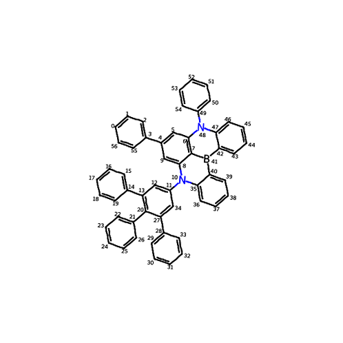 c1ccc(-c2cc3c4c(c2)N(c2cc(-c5ccccc5)c(-c5ccccc5)c(-c5ccccc5)c2)c2ccccc2B4c2ccccc2N3c2ccccc2)cc1